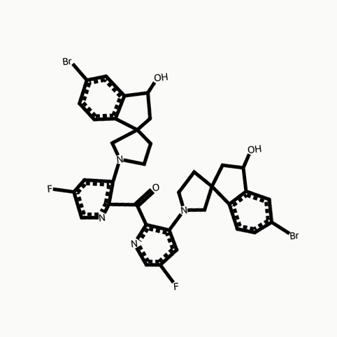 O=C(c1ncc(F)cc1N1CCC2(CC(O)c3cc(Br)ccc32)C1)c1ncc(F)cc1N1CCC2(CC(O)c3cc(Br)ccc32)C1